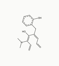 C=C/C=C(Cc1ccccc1O)\C(O)=C(/C=C)N(C)C